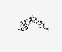 N#Cc1ccc(COc2cccc(-c3ccc(C4(C(=O)O)CC4)cc3)n2)c(F)c1